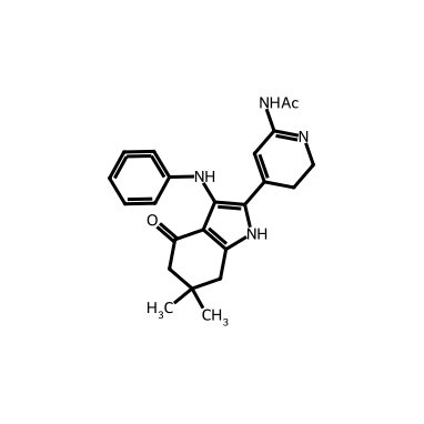 CC(=O)NC1=NCCC(c2[nH]c3c(c2NC2=C=C=CC=C2)C(=O)CC(C)(C)C3)=C1